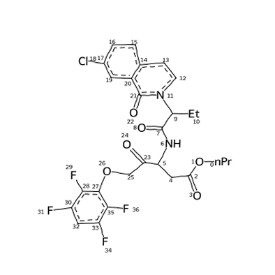 CCCOC(=O)CC(NC(=O)C(CC)n1ccc2ccc(Cl)cc2c1=O)C(=O)COc1c(F)c(F)cc(F)c1F